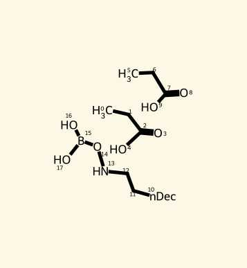 CCC(=O)O.CCC(=O)O.CCCCCCCCCCCCNOB(O)O